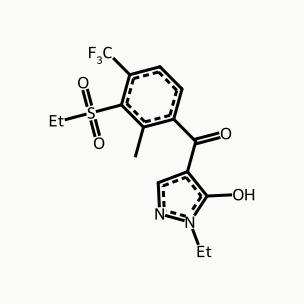 CCn1ncc(C(=O)c2ccc(C(F)(F)F)c(S(=O)(=O)CC)c2C)c1O